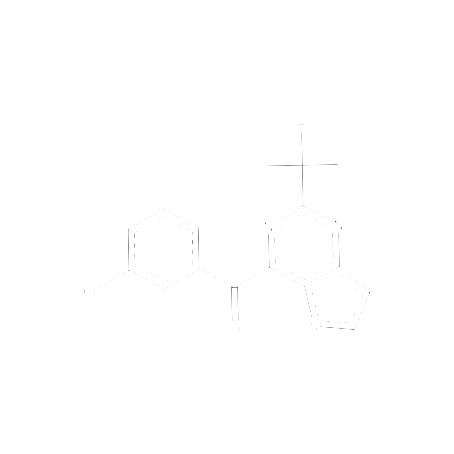 O=C(c1cccc(Cl)c1)c1nc(C(F)(F)F)nc2ccsc12